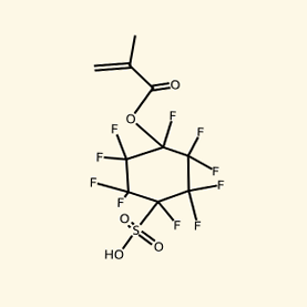 C=C(C)C(=O)OC1(F)C(F)(F)C(F)(F)C(F)(S(=O)(=O)O)C(F)(F)C1(F)F